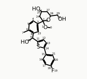 COC1(c2ccc(C)c(C(O)c3ccc(-c4ccc(F)cc4)s3)c2)CC(O)CC(CO)O1